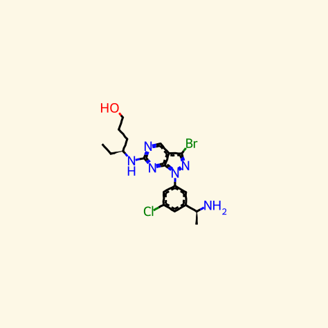 CC[C@@H](CCCO)Nc1ncc2c(Br)nn(-c3cc(Cl)cc([C@H](C)N)c3)c2n1